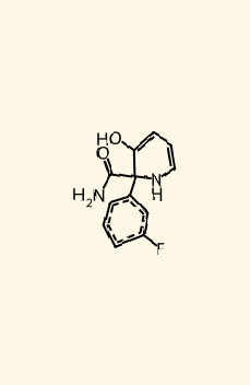 NC(=O)C1(c2cccc(F)c2)NC=CC=C1O